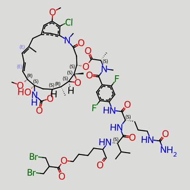 COc1cc2cc(c1Cl)N(C)C(=O)C[C@H](OC(=O)[C@H](C)N(C)C(=O)c1cc(F)c(NC(=O)[C@H](CCCNC(N)=O)NC(=O)[C@@H](NC(C=O)CCCCOC(=O)C(CBr)CBr)C(C)C)cc1F)[C@]1(C)O[C@H]1[C@H](C)[C@@H]1C[C@@](O)(NC(=O)O1)[C@H](OC)/C=C/C=C(\C)C2